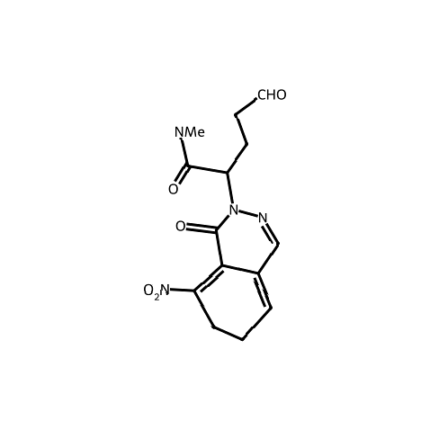 CNC(=O)C(CCC=O)n1ncc2c(c1=O)=C([N+](=O)[O-])CCC=2